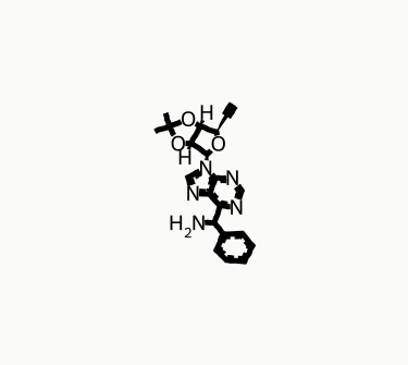 C#C[C@H]1O[C@@H](n2cnc3c(C(N)c4ccccc4)ncnc32)[C@@H]2OC(C)(C)O[C@@H]21